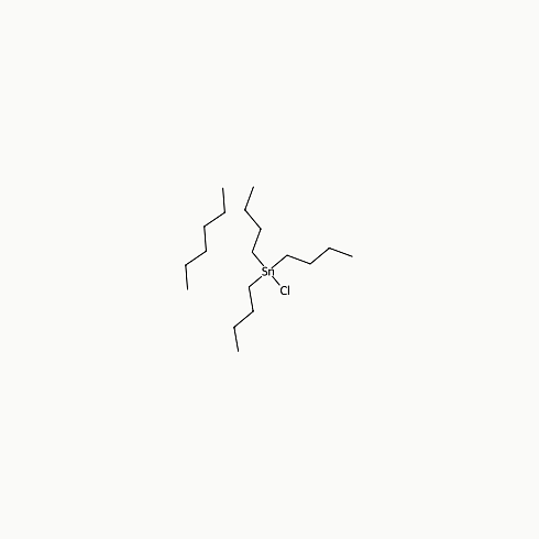 CCCCCC.CCC[CH2][Sn]([Cl])([CH2]CCC)[CH2]CCC